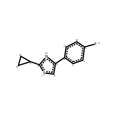 Fc1ccc(-c2csc(C3CC3)n2)cc1